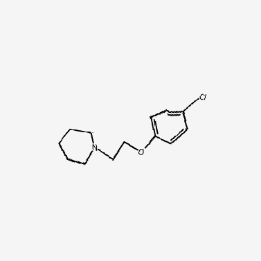 Clc1ccc(OCCN2[CH]CCCC2)cc1